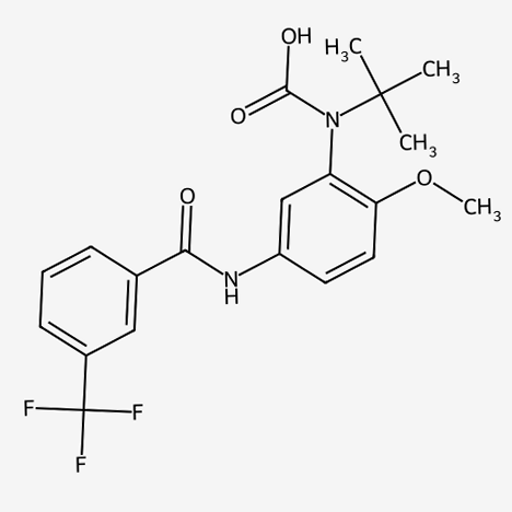 COc1ccc(NC(=O)c2cccc(C(F)(F)F)c2)cc1N(C(=O)O)C(C)(C)C